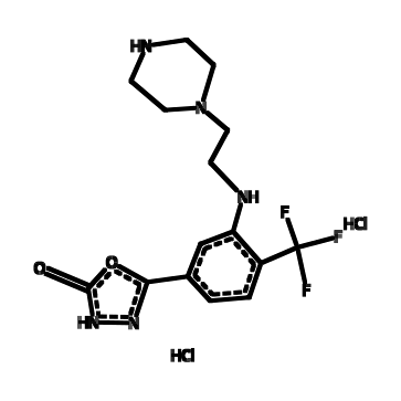 Cl.Cl.O=c1[nH]nc(-c2ccc(C(F)(F)F)c(NCCN3CCNCC3)c2)o1